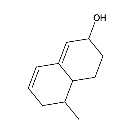 CC1CC=CC2=CC(O)CCC21